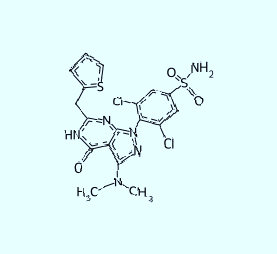 CN(C)c1nn(-c2c(Cl)cc(S(N)(=O)=O)cc2Cl)c2nc(Cc3cccs3)[nH]c(=O)c12